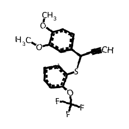 C#CC(Sc1[c]cccc1OC(F)(F)F)c1ccc(OC)c(OC)c1